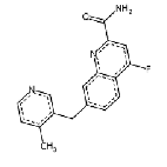 Cc1ccncc1Cc1ccc2c(F)cc(C(N)=O)nc2c1